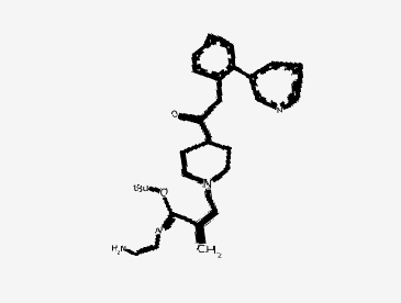 C=C(CN1CCC(C(=O)Cc2ccccc2-c2cccnc2)CC1)/C(=N\C=C/N)OC(C)(C)C